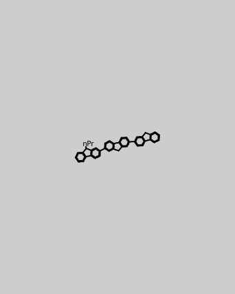 CCCC1c2ccccc2-c2ccc(-c3ccc4c(c3)Cc3cc(-c5ccc6c(c5)Cc5ccccc5-6)ccc3-4)cc21